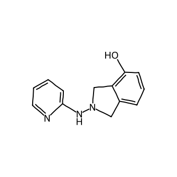 Oc1cccc2c1CN(Nc1ccccn1)C2